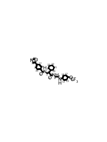 O=C(NCC(C(=O)NCCNc1ccc(OC(F)(F)F)cc1)C1CCCCC1)c1ccc(-c2cnco2)cc1